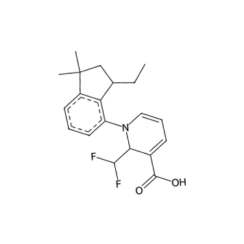 CCC1CC(C)(C)c2cccc(N3C=CC=C(C(=O)O)C3C(F)F)c21